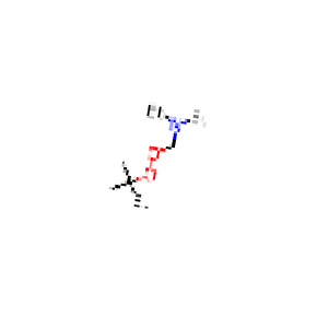 CCN(CC)COOC(C)(C)CC